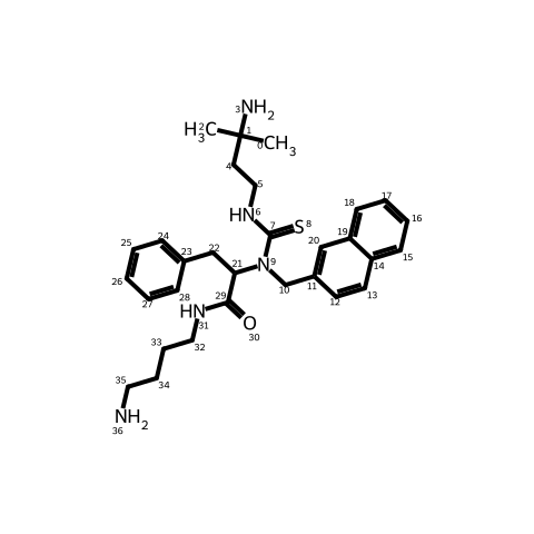 CC(C)(N)CCNC(=S)N(Cc1ccc2ccccc2c1)C(Cc1ccccc1)C(=O)NCCCCN